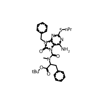 CCCSc1nc(N)c2c(n1)n(Cc1ccccc1)c(=O)n2C(=O)N(C)C(Cc1ccccc1)C(=O)OC(C)(C)C